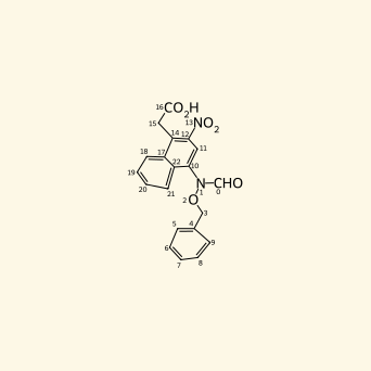 O=CN(OCc1ccccc1)c1cc([N+](=O)[O-])c(CC(=O)O)c2ccccc12